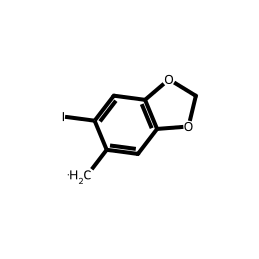 [CH2]c1cc2c(cc1I)OCO2